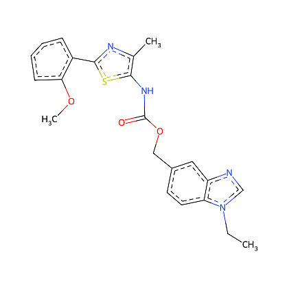 CCn1cnc2cc(COC(=O)Nc3sc(-c4ccccc4OC)nc3C)ccc21